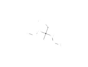 CC(=O)OCC(C)(OOC(C)(C)C)OOC(C)(C)C